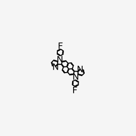 Fc1ccc(-n2c3cccnc3c3c4ccc5cc6c(c7ccc(cc32)c4c57)c2ncccc2n6-c2ccc(F)cc2)cc1